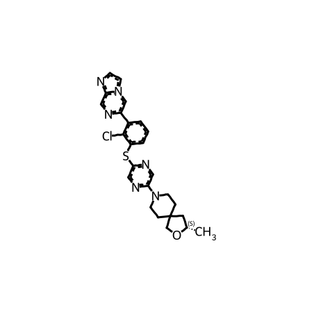 C[C@H]1CC2(CCN(c3cnc(Sc4cccc(-c5cn6ccnc6cn5)c4Cl)cn3)CC2)CO1